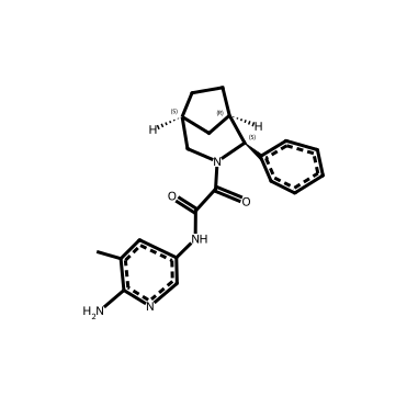 Cc1cc(NC(=O)C(=O)N2C[C@H]3CC[C@H](C3)[C@H]2c2ccccc2)cnc1N